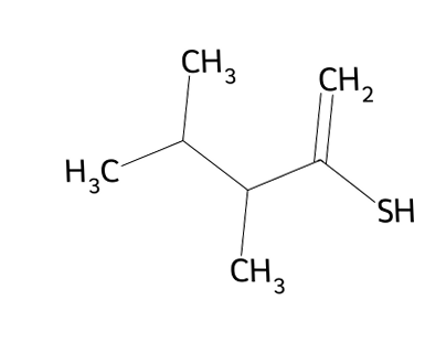 C=C(S)C(C)C(C)C